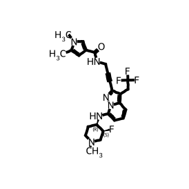 Cc1cc(C(=O)NCC#Cc2nn3c(N[C@@H]4CCN(C)C[C@@H]4F)cccc3c2CC(F)(F)F)cn1C